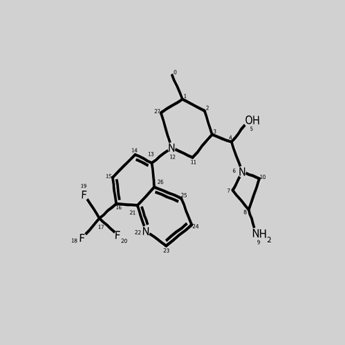 CC1CC(C(O)N2CC(N)C2)CN(c2ccc(C(F)(F)F)c3ncccc23)C1